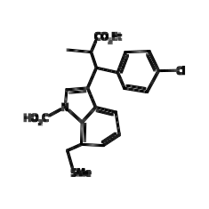 CCOC(=O)C(C)C(c1ccc(Cl)cc1)c1cn(C(=O)O)c2c(CSC)cccc12